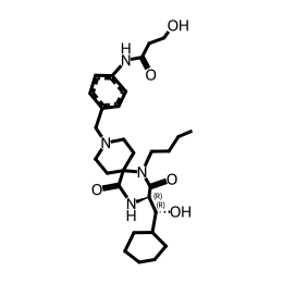 CCCCN1C(=O)[C@@H]([C@H](O)C2CCCCC2)NC(=O)C12CCN(Cc1ccc(NC(=O)CCO)cc1)CC2